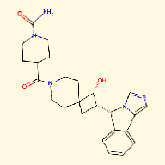 NC(=O)N1CCC(C(=O)N2CCC3(CC2)C[C@@H](C2c4ccccc4-c4cncn42)[C@H]3O)CC1